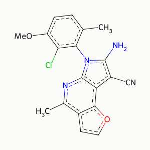 COc1ccc(C)c(-n2c(N)c(C#N)c3c4occc4c(C)nc32)c1Cl